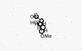 CO[C@H]1CC[C@@]2(C)[C@H](CC[C@@H]3[C@@H]2C[C@@H](O)[C@]2(C)[C@@H](C4=CC(=O)OC4)CC[C@]32O)C1